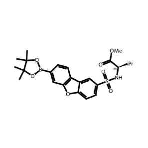 COC(=O)[C@H](NS(=O)(=O)c1ccc2oc3cc(B4OC(C)(C)C(C)(C)O4)ccc3c2c1)C(C)C